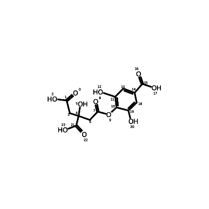 O=C(O)CC(O)(CC(=O)Oc1c(O)cc(C(=O)O)cc1O)C(=O)O